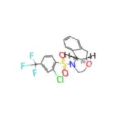 O=S(=O)(c1ccc(C(F)(F)F)cc1Cl)N1CCO[C@H]2Cc3ccccc3[C@H]21